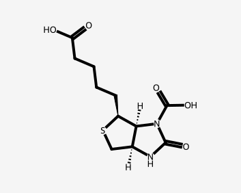 O=C(O)CCCC[C@@H]1SC[C@@H]2NC(=O)N(C(=O)O)[C@@H]21